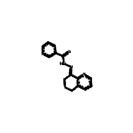 O=C(NN=C1CCCc2cccnc21)c1cccnc1